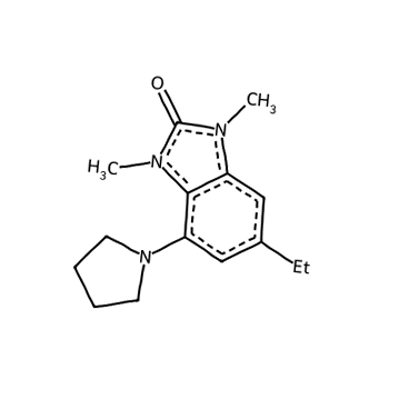 CCc1cc(N2CCCC2)c2c(c1)n(C)c(=O)n2C